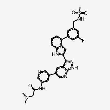 CN(C)CC(=O)Nc1cncc(-c2cnc3[nH]nc(-c4cc5c(-c6cc(F)cc(CNS(C)(=O)=O)c6)cccc5[nH]4)c3c2)c1